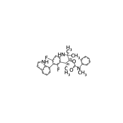 C[C@@H]1c2c(cc(F)c(-c3cccc4cc[nH]c34)c2F)NC(C)(C)[C@H]1OC(=O)N(C)c1ccccc1